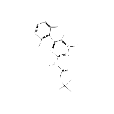 Cc1cccc(C)c1-c1nc(N(C)C(=O)OC(C)(C)C)nc(Cl)c1C